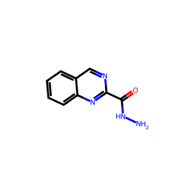 NNC(=O)c1ncc2ccccc2n1